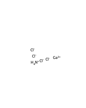 [Cl-].[Cl-].[Cl-].[Cl-].[Ga+3].[NH4+]